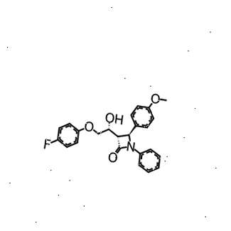 COc1ccc([C@@H]2[C@@H]([C@@H](O)COc3ccc(F)cc3)C(=O)N2c2ccccc2)cc1